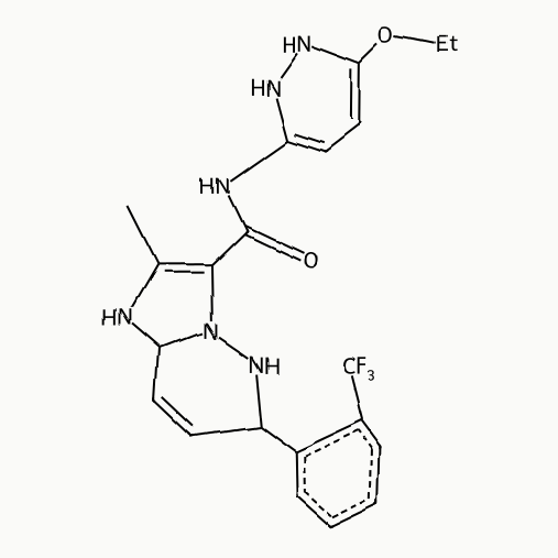 CCOC1=CC=C(NC(=O)C2=C(C)NC3C=CC(c4ccccc4C(F)(F)F)NN23)NN1